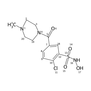 CN1CCN(C(=O)c2ccc(Cl)c(S(=O)(=O)NO)c2)CC1